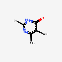 CCCCc1c(C)nc(CC)[nH]c1=O